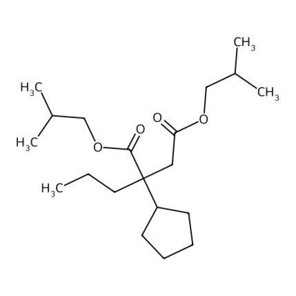 CCCC(CC(=O)OCC(C)C)(C(=O)OCC(C)C)C1CCCC1